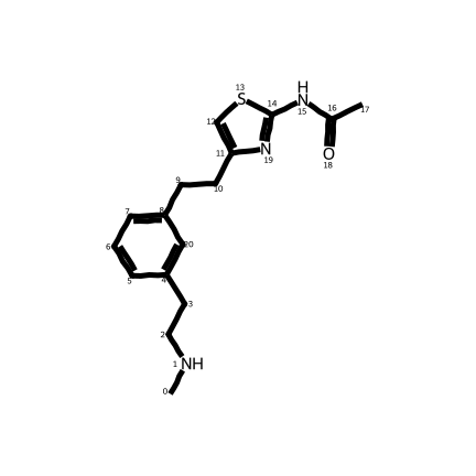 CNCCc1cccc(CCc2csc(NC(C)=O)n2)c1